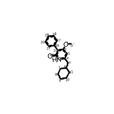 [CH2]Oc1cc(CC2CCCCC2)[nH]c(=O)c1-c1ccccc1